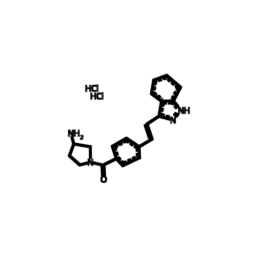 Cl.Cl.NC1CCN(C(=O)c2ccc(/C=C/c3n[nH]c4ccccc34)cc2)C1